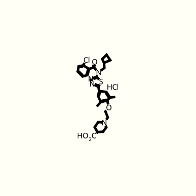 Cc1cc(-c2nnc(N(CC3CCC3)C(=O)c3ccccc3Cl)s2)cc(C)c1OCCN1CCC(C(=O)O)CC1.Cl